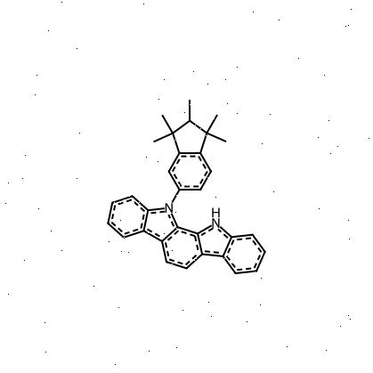 CC1C(C)(C)c2ccc(-n3c4ccccc4c4ccc5c6ccccc6[nH]c5c43)cc2C1(C)C